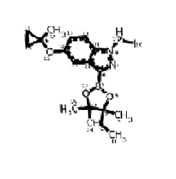 CCC1(C)OB(c2nn(PI)c3ccc(OC4(C)CC4)cc23)OC1(C)C